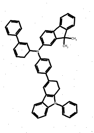 CC1(C)c2ccccc2-c2ccc(N(c3ccc(C4=Cc5c(n(-c6ccccc6)c6ccccc56)CC4)cc3)C3C=C(c4ccccc4)C=CC3)cc21